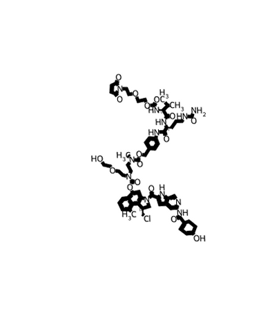 Cc1cccc2c(OC(=O)N(CCOCCO)CCN(C)C(=O)OCc3ccc(NC(=O)[C@H](CCCNC(N)=O)NC(=O)[C@@H](NC(=O)OCCOCCN4C(=O)C=CC4=O)C(C)C)cc3)cc3c(c12)[C@H](CCl)CN3C(=O)c1cc2cc(NC(=O)C3=CC=C(O)CC3)ncc2[nH]1